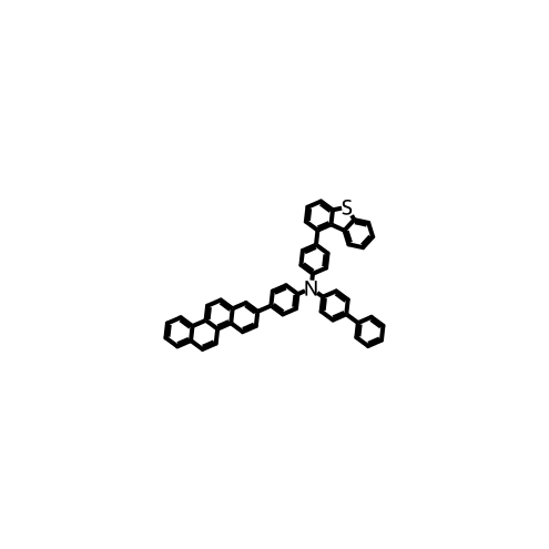 c1ccc(-c2ccc(N(c3ccc(-c4ccc5c(ccc6c7ccccc7ccc56)c4)cc3)c3ccc(-c4cccc5sc6ccccc6c45)cc3)cc2)cc1